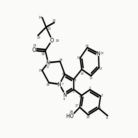 Cc1ccc(-c2nn3c(c2-c2ccncc2)CN(C(=O)OC(C)(C)C)CC3)c(O)c1